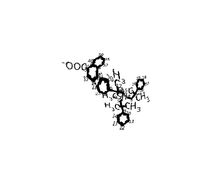 CC(C)([CH2][Sn+]([CH2]C(C)(C)c1ccccc1)[CH2]C(C)(C)c1ccccc1)c1ccccc1.O=C([O-])c1cccc2ccccc12